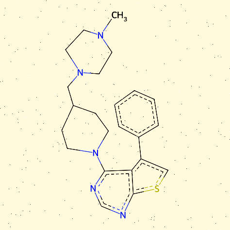 CN1CCN(CC2CCN(c3ncnc4scc(-c5ccccc5)c34)CC2)CC1